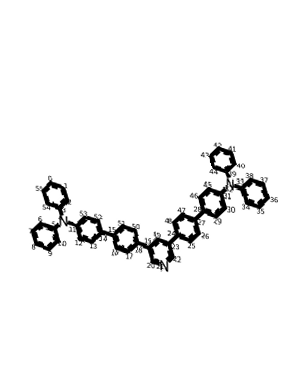 c1ccc(N(c2ccccc2)c2ccc(-c3ccc(-c4cncc(-c5ccc(-c6ccc(N(c7ccccc7)c7ccccc7)cc6)cc5)c4)cc3)cc2)cc1